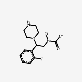 CCC(=O)N(CC)CC(c1ccccc1F)N1CCNCC1